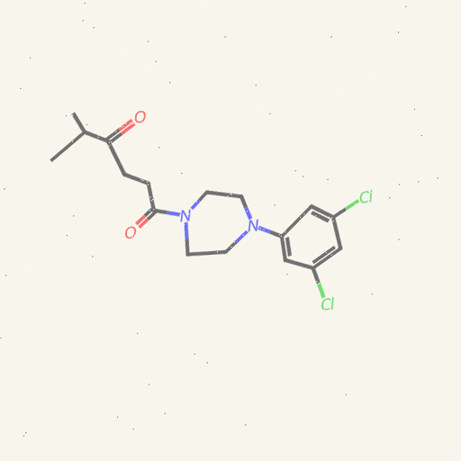 CC(C)C(=O)CCC(=O)N1CCN(c2cc(Cl)cc(Cl)c2)CC1